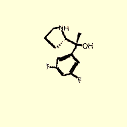 C[C@@](O)(c1cc(F)cc(F)c1)[C@@H]1CCCN1